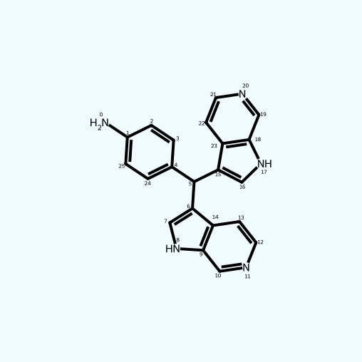 Nc1ccc(C(c2c[nH]c3cnccc23)c2c[nH]c3cnccc23)cc1